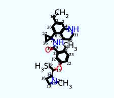 C=Cc1cc2c(c(C3(NC(=O)c4cc(OC([SiH3])[C@@H]5CCN5C)ccc4C)CC3)c1)CCCN2